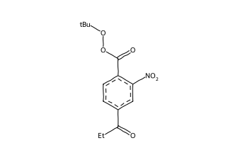 CCC(=O)c1ccc(C(=O)OOC(C)(C)C)c([N+](=O)[O-])c1